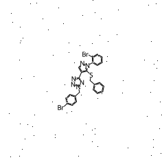 Brc1ccc(Cn2nnc(-c3cnn(-c4ccccc4Br)c3SCc3ccccc3)n2)cc1